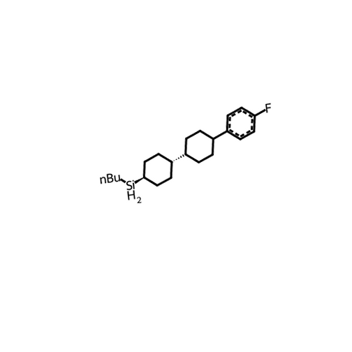 CCCC[SiH2][C@H]1CC[C@H](C2CCC(c3ccc(F)cc3)CC2)CC1